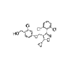 OCc1ccc(OCC2C(c3c(Cl)cccc3Cl)=NOC2C2CC2)cc1Cl